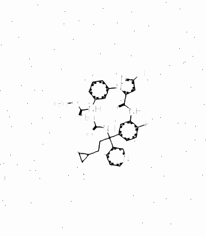 CC(C)(C)OC(=O)Nc1cccc(-n2nc(C(F)(F)F)cc2C(=O)Nc2cc(C(CCC3CC3)(NC(=O)C(C)(C)C)c3cccnc3)ccc2F)c1